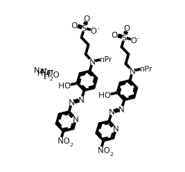 CCCN(CCCS(=O)(=O)[O-])c1ccc(N=Nc2ccc([N+](=O)[O-])cn2)c(O)c1.CCCN(CCCS(=O)(=O)[O-])c1ccc(N=Nc2ccc([N+](=O)[O-])cn2)c(O)c1.O.O.[Na+].[Na+]